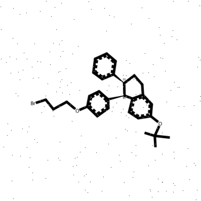 CC(C)(C)Oc1ccc2c(c1)CC[C@H](c1ccccc1)[C@@H]2c1ccc(OCCCBr)cc1